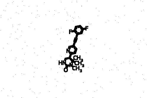 CN1C(=O)NCC(c2ccc(C#Cc3cc(F)ccc3F)cn2)C1(C)C